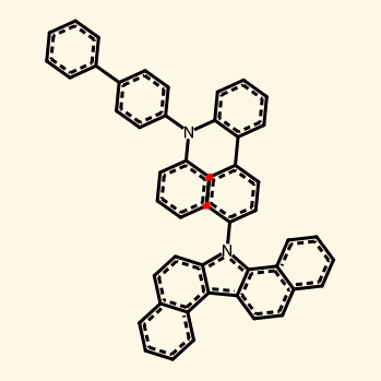 c1ccc(-c2ccc(N(c3ccccc3)c3ccccc3-c3ccc(-n4c5ccc6ccccc6c5c5ccc6ccccc6c54)cc3)cc2)cc1